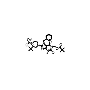 Cn1c(=O)n(COC(=O)C(C)(C)C)c(=O)c2c1nc(N1CCN(C(=O)O)C(C(C)(C)C)C1)n2Cc1ccccc1